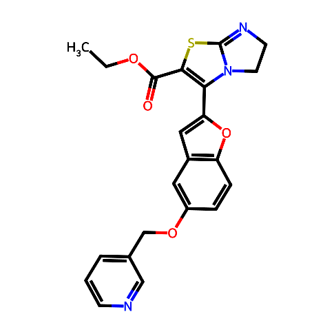 CCOC(=O)C1=C(c2cc3cc(OCc4cccnc4)ccc3o2)N2CCN=C2S1